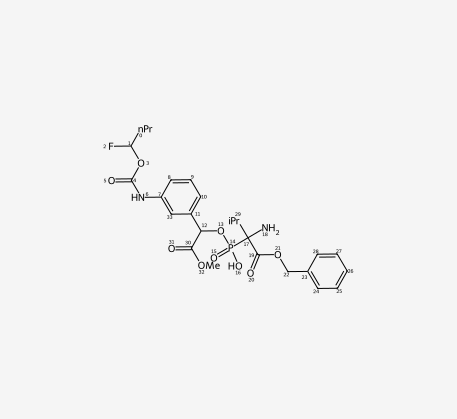 CCCC(F)OC(=O)Nc1cccc(C(OP(=O)(O)C(N)(C(=O)OCc2ccccc2)C(C)C)C(=O)OC)c1